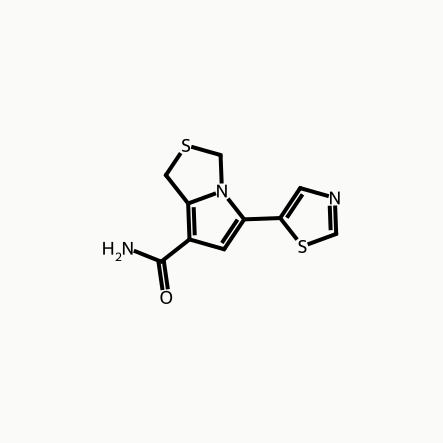 NC(=O)c1cc(-c2cncs2)n2c1CSC2